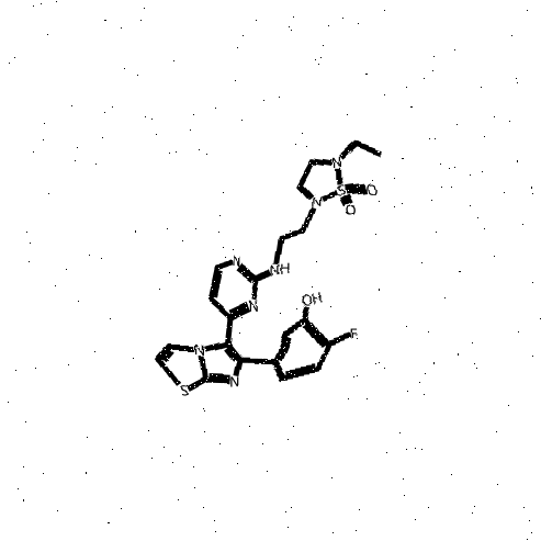 CCN1CCN(CCNc2nccc(-c3c(-c4ccc(F)c(O)c4)nc4sccn34)n2)S1(=O)=O